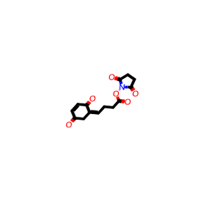 O=C1C=CC(=O)/C(=C\CCC(=O)ON2C(=O)CCC2=O)C1